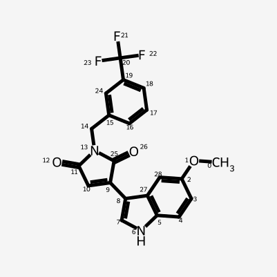 COc1ccc2[nH]cc(C3=CC(=O)N(Cc4cccc(C(F)(F)F)c4)C3=O)c2c1